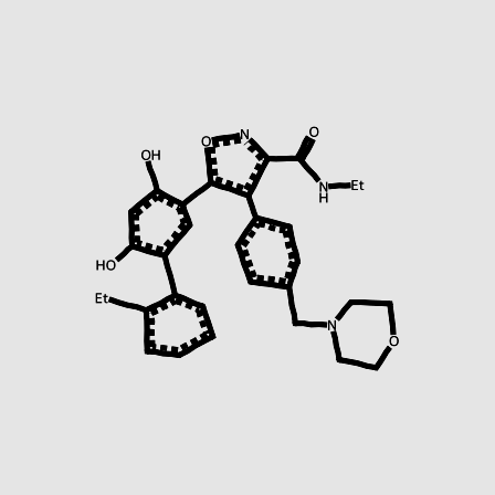 CCNC(=O)c1noc(-c2cc(-c3ccccc3CC)c(O)cc2O)c1-c1ccc(CN2CCOCC2)cc1